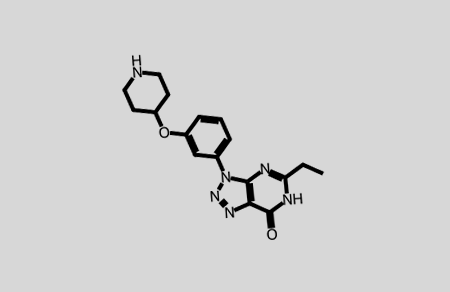 CCc1nc2c(nnn2-c2cccc(OC3CCNCC3)c2)c(=O)[nH]1